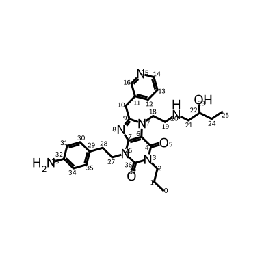 CCCn1c(=O)c2c(nc(Cc3cccnc3)n2CCNCC(O)CC)n(CCc2ccc(N)cc2)c1=O